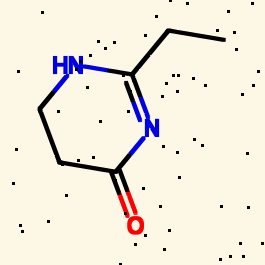 CCC1=NC(=O)CCN1